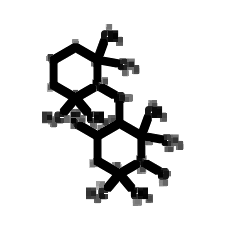 CC1(C)CCCC(C)(C)N1OC1C(N)CC(C)(C)N([O])C1(C)C